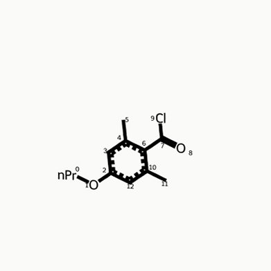 CCCOc1cc(C)c(C(=O)Cl)c(C)c1